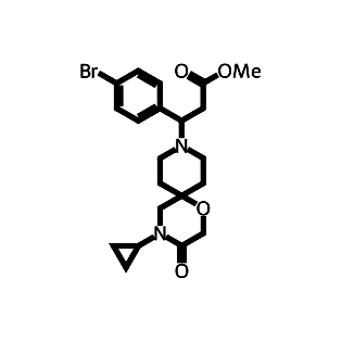 COC(=O)CC(c1ccc(Br)cc1)N1CCC2(CC1)CN(C1CC1)C(=O)CO2